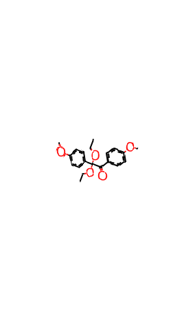 CCOC(OCC)(C(=O)c1ccc(OC)cc1)c1ccc(OC)cc1